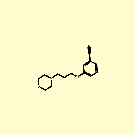 N#Cc1cccc(OCCCN2CCOCC2)c1